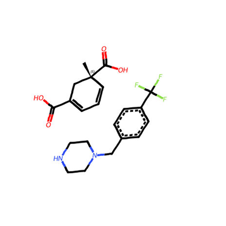 C[C@@]1(C(=O)O)C=CC=C(C(=O)O)C1.FC(F)(F)c1ccc(CN2CCNCC2)cc1